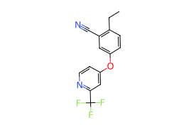 CCc1ccc(Oc2ccnc(C(F)(F)F)c2)cc1C#N